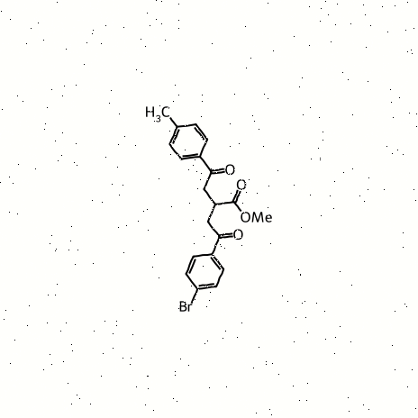 COC(=O)C(CC(=O)c1ccc(C)cc1)CC(=O)c1ccc(Br)cc1